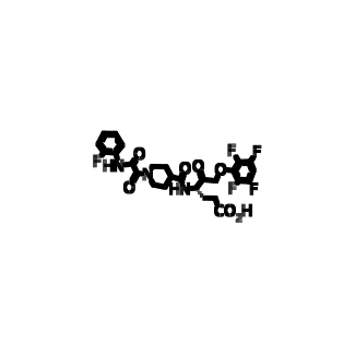 O=C(O)CC[C@H](NC(=O)C1CCN(C(=O)C(=O)Nc2ccccc2F)CC1)C(=O)COc1c(F)c(F)cc(F)c1F